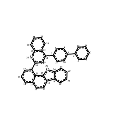 c1ccc(-c2ccc(-c3nc(-c4cccc5ccc6c7ccccc7oc6c45)nc4ccccc34)cc2)cc1